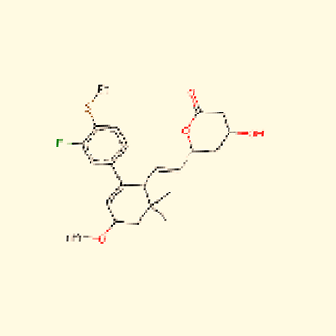 CCCOC1C=C(c2ccc(SCC)c(F)c2)C(C=C[C@H]2C[C@H](O)CC(=O)O2)C(C)(C)C1